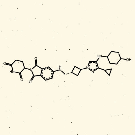 O=C1CCC(N2C(=O)c3ccc(NC[C@H]4C[C@H](n5cc(NC6CCC(O)CC6)c(C6CC6)n5)C4)cc3C2=O)C(=O)N1